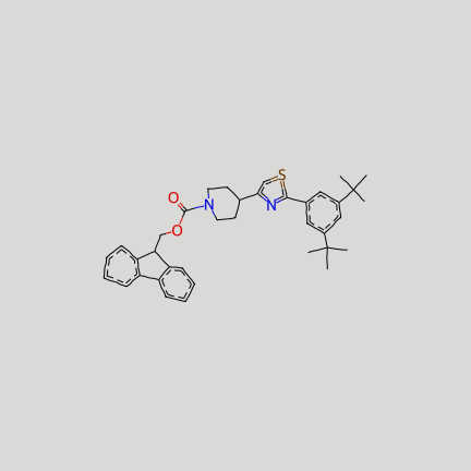 CC(C)(C)c1cc(-c2nc(C3CCN(C(=O)OCC4c5ccccc5-c5ccccc54)CC3)cs2)cc(C(C)(C)C)c1